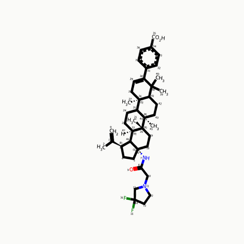 C=C(C)[C@@H]1CC[C@]2(NC(=O)CN3CCC(F)(F)C3)CC[C@]3(C)[C@H](CCC4[C@@]5(C)CC=C(c6ccc(C(=O)O)cc6)C(C)(C)C5CC[C@]43C)C12